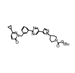 CC(C)(C)OC(=O)N1CCC(n2cc(-c3cnc(-c4cccc(Cn5nc(C6CC6)ccc5=O)c4)nc3)cn2)CC1